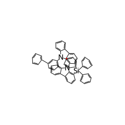 c1ccc(-c2cccc(-n3c4ccccc4c4cccc(-n5c6ccccc6c6cccc([Si](c7ccccc7)(c7ccccc7)c7ccccc7)c65)c43)c2)cc1